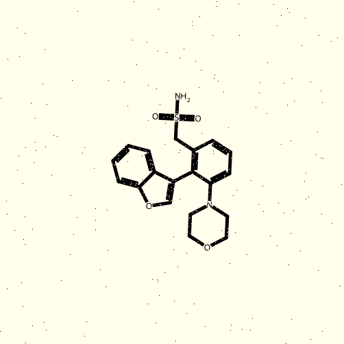 NS(=O)(=O)Cc1cccc(N2CCOCC2)c1-c1coc2ccccc12